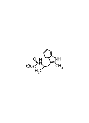 Cc1[nH]c2ccccc2c1CC(C)NC(=O)OC(C)(C)C